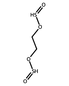 O=[SH]OCCO[SH]=O